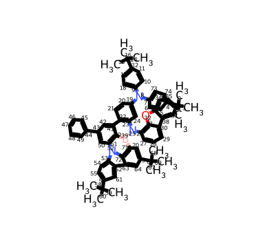 CC(C)(C)c1ccc(N(c2ccc(C(C)(C)C)cc2)c2ccc3c(c2)N(c2cccc4c2oc2ccccc24)B2c4c-3cc(-c3ccccc3)cc4-n3c4ccc(C(C)(C)C)cc4c4cc(C(C)(C)C)cc2c43)cc1